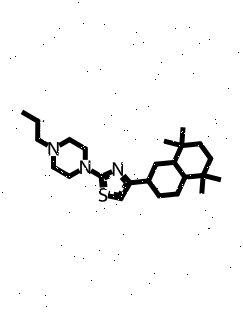 C[CH]CN1CCN(c2nc(C3CCC4C(C3)C(C)(C)CCC4(C)C)cs2)CC1